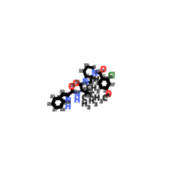 COc1ccc(C(=O)N2CCCC3[C@H]2CN3C(=O)[C@@H](NC(=O)c2cc3ccccc3[nH]2)C(C)(C)C)c(Cl)c1